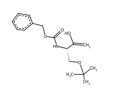 C=C(O)[C@H](COC(C)(C)C)NC(=O)OCc1ccccc1